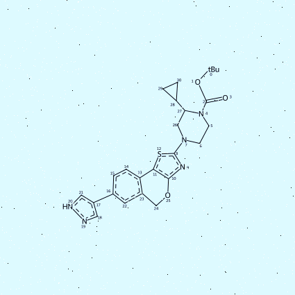 CC(C)(C)OC(=O)N1CCN(c2nc3c(s2)-c2ccc(-c4cn[nH]c4)cc2CO3)CC1C1CC1